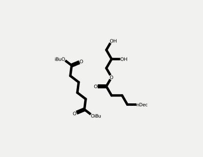 CC(C)COC(=O)CCCCC(=O)OCC(C)C.CCCCCCCCCCCCCC(=O)OCC(O)CO